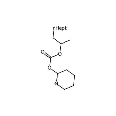 CCCCCCCCC(C)OC(=O)OC1CCCC[N]1